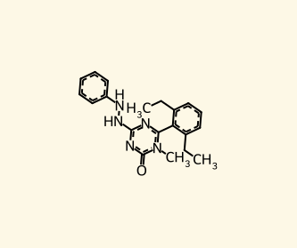 CCc1cccc(CC)c1-c1nc(NNc2ccccc2)nc(=O)n1C